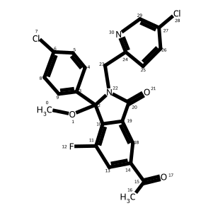 COC1(c2ccc(Cl)cc2)c2c(F)cc(C(C)=O)cc2C(=O)N1Cc1ccc(Cl)cn1